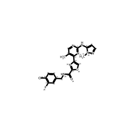 Cc1cnc(Nc2ccnn2C)nc1-c1coc(C(=O)NCc2ccc(Cl)c(F)c2)n1